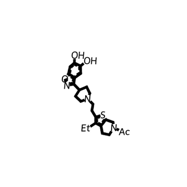 CCc1c(CCN2CCC(c3noc4cc(O)c(O)cc34)CC2)sc2c1CCN(C(C)=O)C2